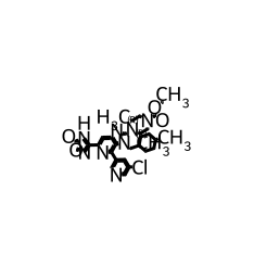 CCOC(=O)N1C[C@@H](C)N(c2nc3cc(-c4noc(=O)[nH]4)nc(-c4cncc(Cl)c4)c3n2CC2CCC(C)CC2)[C@H](C)C1